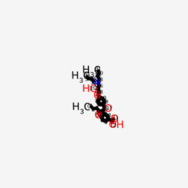 CCCCc1oc2ccc(C(=O)O)cc2c1C(=O)c1ccc(OCC(O)CN(CCCC)CCCC)cc1